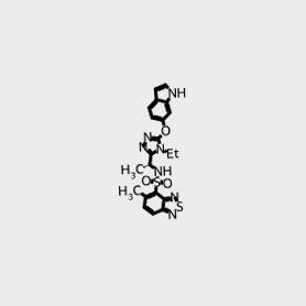 CCn1c(Oc2ccc3cc[nH]c3c2)nnc1[C@@H](C)NS(=O)(=O)c1c(C)ccc2nsnc12